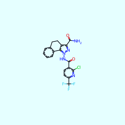 NC(=O)c1nn(NC(=O)c2ccc(C(F)(F)F)nc2Cl)c2c1CCc1ccccc1-2